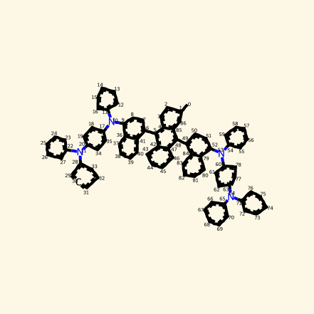 Cc1ccc2c(-c3ccc(N(c4ccccc4)c4ccc(N(c5ccccc5)c5ccccc5)cc4)c4ccccc34)c3ccccc3c(-c3ccc(N(c4ccccc4)c4ccc(N(c5ccccc5)c5ccccc5)cc4)c4ccccc34)c2c1